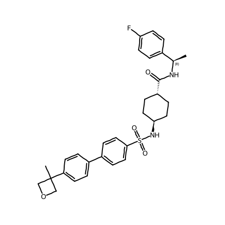 C[C@@H](NC(=O)[C@H]1CC[C@H](NS(=O)(=O)c2ccc(-c3ccc(C4(C)COC4)cc3)cc2)CC1)c1ccc(F)cc1